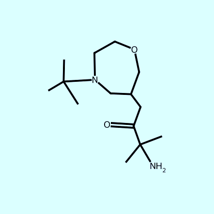 CC(C)(N)C(=O)CC1COCCN(C(C)(C)C)C1